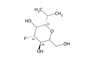 CC(C)[C@@H]1OC(CO)[C@@H](O)[C@H](F)C1O